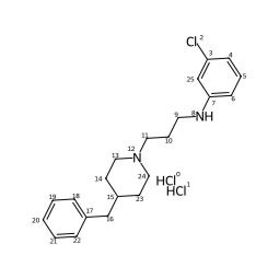 Cl.Cl.Clc1cccc(NCCCN2CCC(Cc3ccccc3)CC2)c1